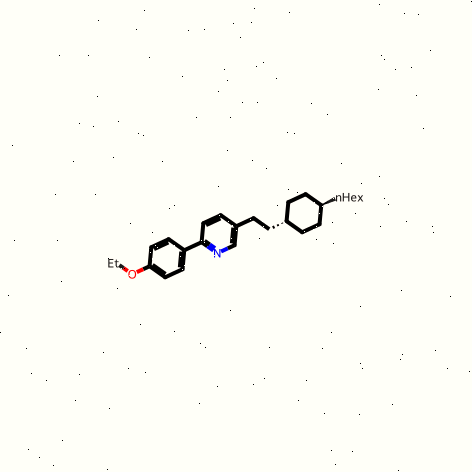 CCCCCC[C@H]1CC[C@H](CCc2ccc(-c3ccc(OCC)cc3)nc2)CC1